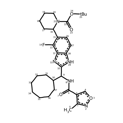 Cc1nocc1C(=O)NC(c1nc2c(F)c(C3CCCCN3C(=O)OC(C)(C)C)ccc2[nH]1)C1CCCCCCC1